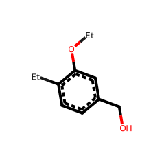 CCOc1cc(CO)ccc1CC